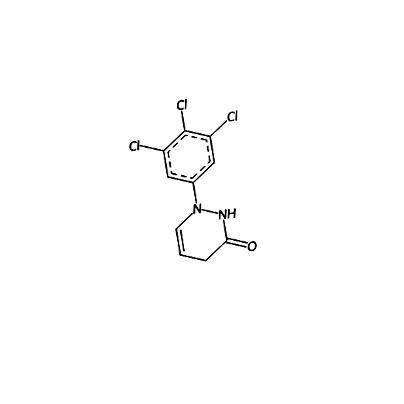 O=C1CC=CN(c2cc(Cl)c(Cl)c(Cl)c2)N1